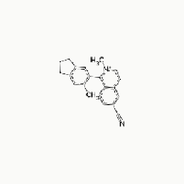 Cc1cc2c(cc1-c1c3ccc(C#N)cc3cc[n+]1C)CCC2